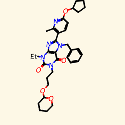 CCn1c(=O)n(CCCOC2CCCCO2)c(=O)c2c1nc(-c1ccc(OC3CCCC3)nc1C)n2Cc1ccccc1